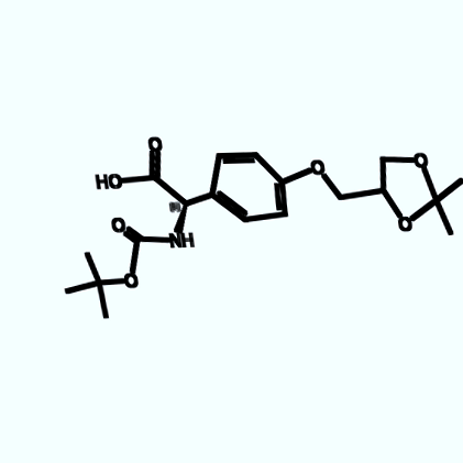 CC(C)(C)OC(=O)N[C@@H](C(=O)O)c1ccc(OCC2COC(C)(C)O2)cc1